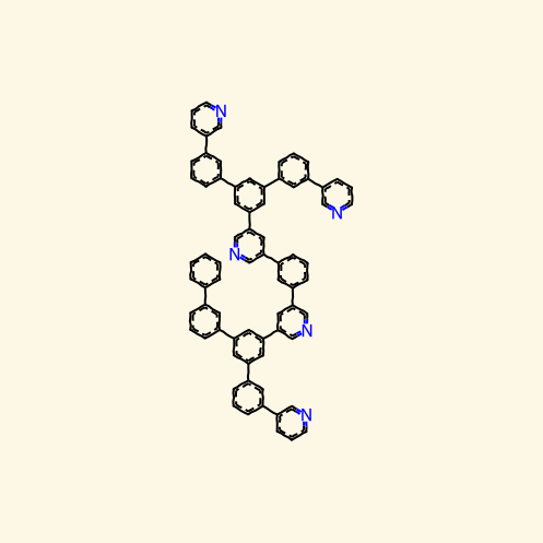 c1ccc(-c2cccc(-c3cc(-c4cccc(-c5cccnc5)c4)cc(-c4cncc(-c5cccc(-c6cncc(-c7cc(-c8cccc(-c9cccnc9)c8)cc(-c8cccc(-c9cccnc9)c8)c7)c6)c5)c4)c3)c2)cc1